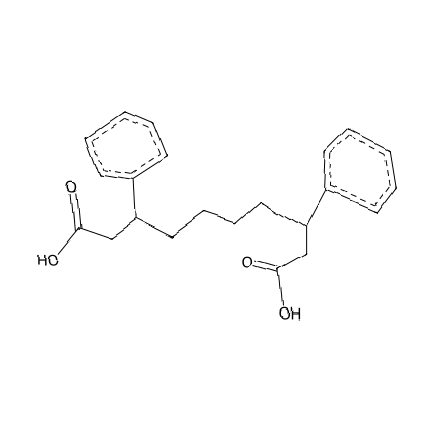 O=C(O)CC(CCCCC(CC(=O)O)c1ccccc1)c1ccccc1